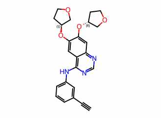 C#Cc1cccc(Nc2ncnc3cc(O[C@@H]4CCOC4)c(O[C@H]4CCOC4)cc23)c1